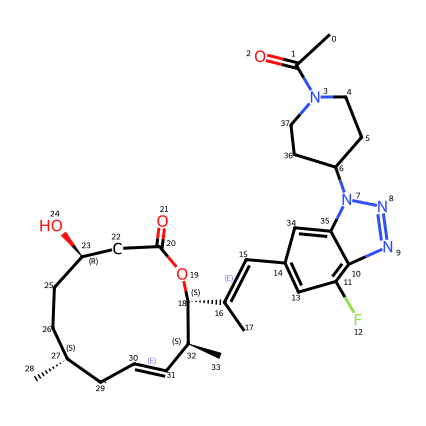 CC(=O)N1CCC(n2nnc3c(F)cc(/C=C(\C)[C@H]4OC(=O)C[C@H](O)CC[C@@H](C)[CH]/C=C/[C@@H]4C)cc32)CC1